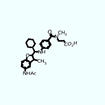 CC(=O)Nc1ccc2c(c1)C(C)C(C(Nc1ccc(C(=O)N(C)CCC(=O)O)cc1)C1CCCCC1)O2